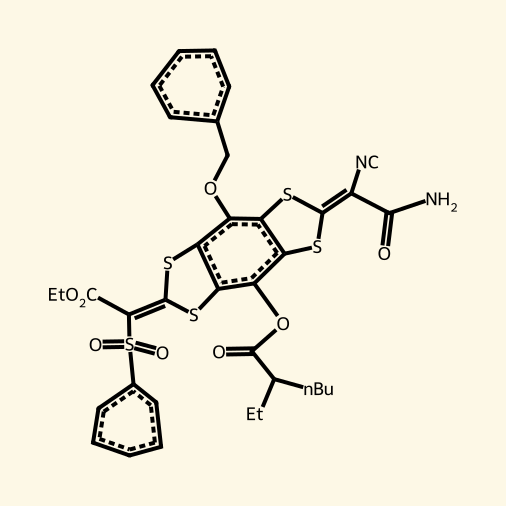 [C-]#[N+]/C(C(N)=O)=C1\Sc2c(OCc3ccccc3)c3c(c(OC(=O)C(CC)CCCC)c2S1)S/C(=C(/C(=O)OCC)S(=O)(=O)c1ccccc1)S3